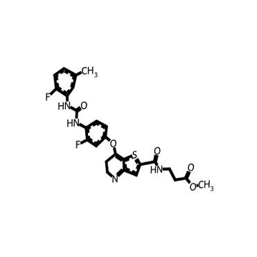 COC(=O)CCNC(=O)c1cc2c(s1)=C(Oc1ccc(NC(=O)Nc3cc(C)ccc3F)c(F)c1)CCN=2